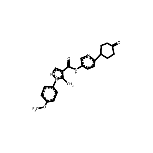 Cc1c(C(=O)Nc2ccc(C3CCC(=O)CC3)nc2)cnn1-c1ccc(OC(F)(F)F)cc1